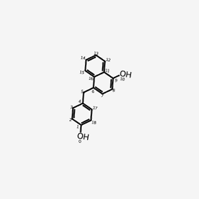 Oc1ccc(Cc2ccc(O)c3ccccc23)cc1